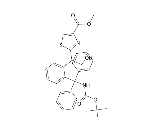 COC(=O)c1csc(C(CO)c2ccccc2C(NC(=O)OC(C)(C)C)(c2ccccc2)c2ccccc2)n1